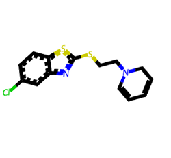 Clc1ccc2sc(SCCN3C=CC=CC3)nc2c1